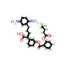 Nc1ccc(N)c(CCC=C(C(=O)O)c2cccc(OC(=O)c3ccccc3OC(=O)CCC(F)(F)F)c2)c1